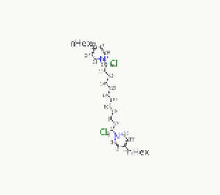 CCCCCCc1cc[n+](C(Cl)CCCCCCCCCCC(Cl)[n+]2ccc(CCCCCC)cc2)cc1